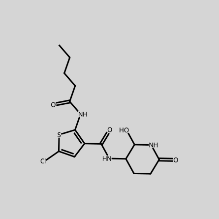 CCCCC(=O)Nc1sc(Cl)cc1C(=O)NC1CCC(=O)NC1O